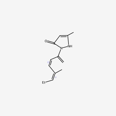 C=C(/C=C\C(C)=C/CC)n1[nH]c(C)cc1=O